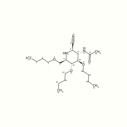 CCCCOC[C@H]1N[C@@H](C#N)[C@H](NC(C)=O)[C@@H](OCCCC)[C@@H]1OCCCC